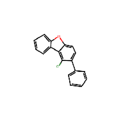 Clc1c(-c2ccccc2)ccc2oc3ccccc3c12